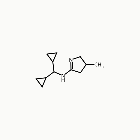 CC1CN=C(NC(C2CC2)C2CC2)C1